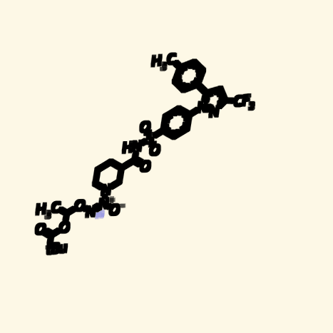 Cc1ccc(-c2cc(C(F)(F)F)nn2-c2ccc(S(=O)(=O)NC(=O)C3CCCN(/[N+]([O-])=N\OC(C)OC(=O)C(C)(C)C)C3)cc2)cc1